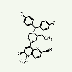 CCC1CN(c2cc(=O)n(C)c3ccc(C#N)nc23)CCN1C(c1ccc(F)cc1)c1ccc(F)cc1